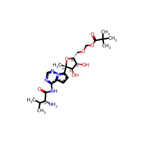 CC(C)[C@H](N)C(=O)Nc1ncnn2c([C@]3(C)O[C@H](COCOC(=O)C(C)(C)C)[C@@H](O)[C@H]3O)ccc12